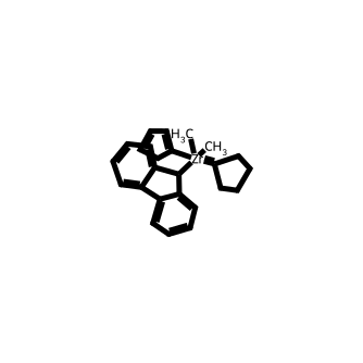 [CH3][Zr]([CH3])([C]1=CC=CC1)(=[C]1CCCC1)[CH]1c2ccccc2-c2ccccc21